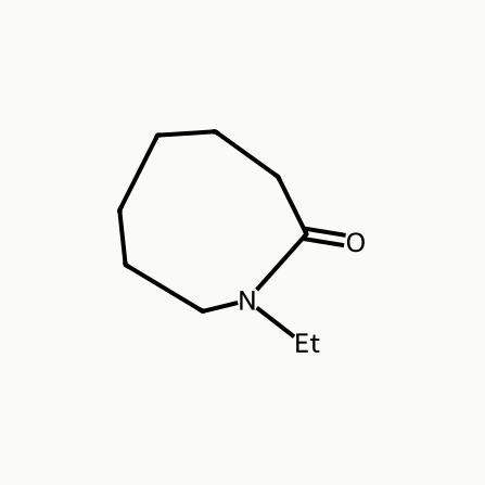 CCN1CCCCCCC1=O